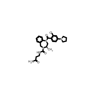 C[C@@H]1CN(C(=O)c2ccc(N3CCCC3)cc2Cl)c2ccccc2CN1C(=O)NCCC(N)=O